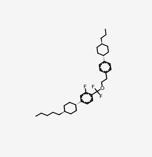 CCCCC[C@H]1CC[C@H](c2ccc(C(F)(F)OCCc3ccc([C@H]4CC[C@H](CCC)CC4)cc3)c(F)c2)CC1